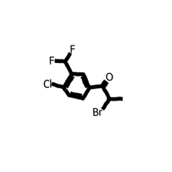 CC(Br)C(=O)c1ccc(Cl)c(C(F)F)c1